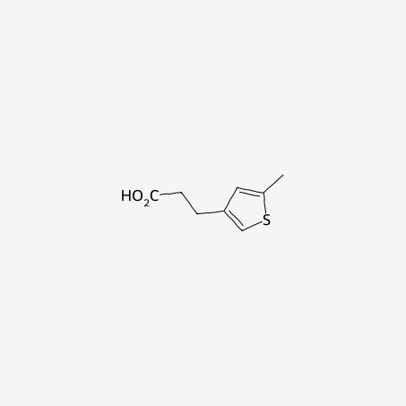 Cc1cc(CCC(=O)O)cs1